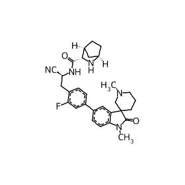 CN1CCCC2(C1)C(=O)N(C)c1ccc(-c3ccc(C[C@@H](C#N)NC(=O)[C@H]4N[C@@H]5CC[C@H]4C5)c(F)c3)cc12